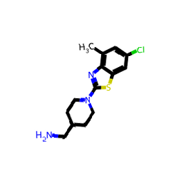 Cc1cc(Cl)cc2sc(N3CCC(CN)CC3)nc12